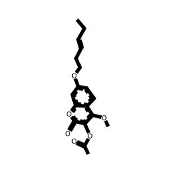 CCC=CCCOc1ccc2c(OC)c(OC(C)=O)c(=O)oc2c1